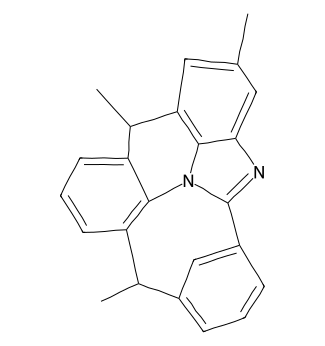 Cc1cc2c3c(c1)nc1n3-c3c(cccc3C2C)C(C)c2cccc-1c2